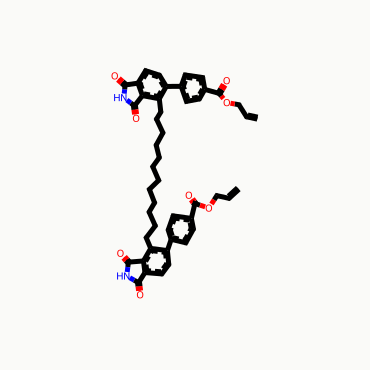 C=CCOC(=O)c1ccc(-c2ccc3c(c2CCCCCCCCCCCCc2c(-c4ccc(C(=O)OCC=C)cc4)ccc4c2C(=O)NC4=O)C(=O)NC3=O)cc1